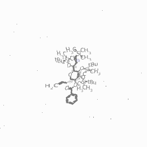 C=CC[C@@H]1O[C@@H]([C@H](/C=C/[Si](C)(C)C)O[Si](C)(C)C(C)(C)C)[C@@H](O[Si](C)(C)C(C)(C)C)[C@@H](O[Si](C)(C)C(C)(C)C)[C@H]1OC(=O)c1ccccc1